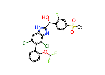 CCS(=O)(=O)c1ccc(C(O)c2nc3c(Cl)c(-c4ccccc4OC(F)F)c(Cl)cc3[nH]2)c(F)c1